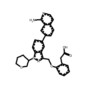 Nc1nccc2ccc(-c3ccc4c(c3)c(COc3ccccc3CC(=O)O)nn4C3CCCOC3)cc12